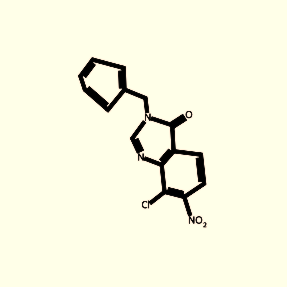 O=c1c2ccc([N+](=O)[O-])c(Cl)c2ncn1Cc1ccccc1